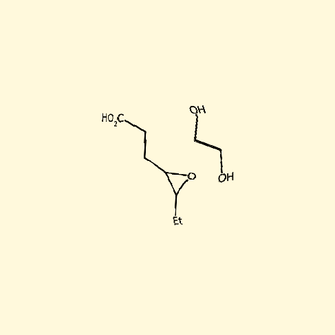 CCC1OC1CCC(=O)O.OCCO